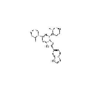 CC1COCCN1c1nc(N2CCOCC2C)c2nc(-c3ccc4cc[nH]c4c3)[nH]c2n1